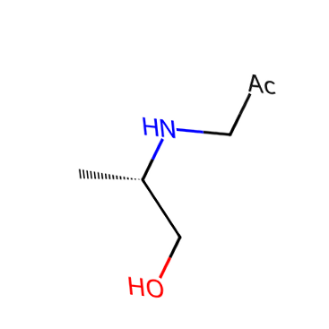 CC(=O)CN[C@@H](C)CO